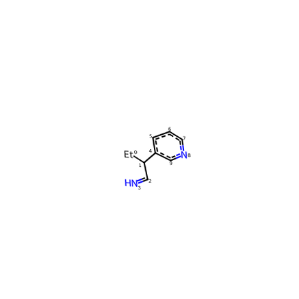 CCC(C=N)c1cccnc1